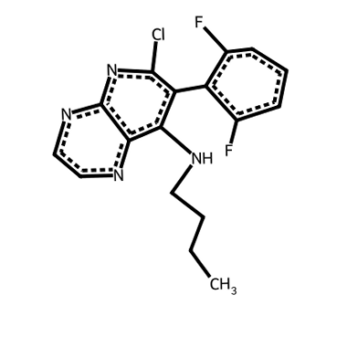 CCCCNc1c(-c2c(F)cccc2F)c(Cl)nc2nccnc12